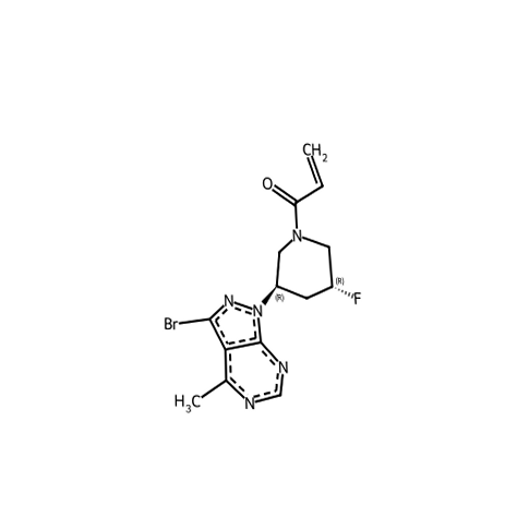 C=CC(=O)N1C[C@H](F)C[C@@H](n2nc(Br)c3c(C)ncnc32)C1